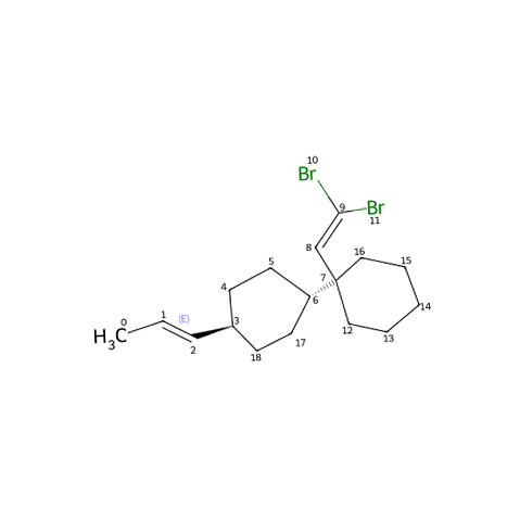 C/C=C/[C@H]1CC[C@H](C2(C=C(Br)Br)CCCCC2)CC1